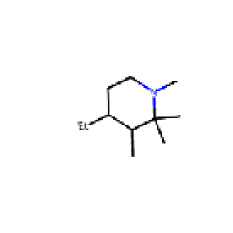 CCC1CCN(C)C(C)(C)C1C